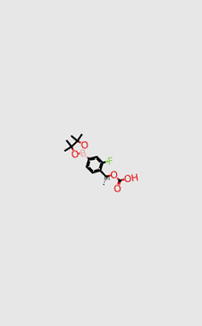 C[C@@H](OC(=O)O)c1ccc(B2OC(C)(C)C(C)(C)O2)cc1F